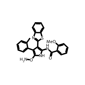 COc1ccccc1C(=O)Nc1[nH]c(ON)c(-c2ccccc2C)c1-c1nc2ccccc2s1